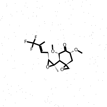 CO[C@@H]1C(=O)[C@H](OC)C[C@]2(CO2)[C@H]1[C@@]1(C)O[C@@H]1C/C=C(\C)C(F)(F)F